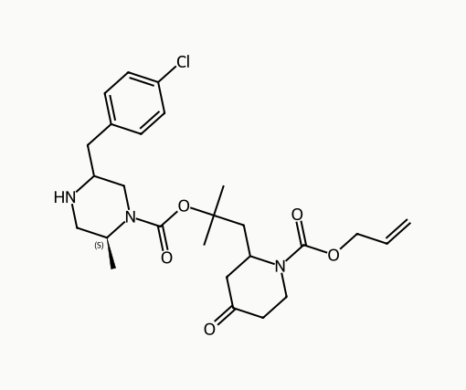 C=CCOC(=O)N1CCC(=O)CC1CC(C)(C)OC(=O)N1CC(Cc2ccc(Cl)cc2)NC[C@@H]1C